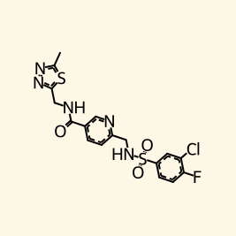 Cc1nnc(CNC(=O)c2ccc(CNS(=O)(=O)c3ccc(F)c(Cl)c3)nc2)s1